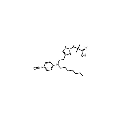 [C-]#[N+]c1ccc(N(CCCCCCC)CCc2csc(SC(C)(C)C(=O)O)n2)cc1